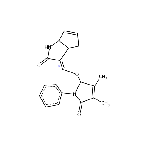 CC1=C(C)C(O/C=C2/C(=O)NC3C=CCC23)N(c2ccccc2)C1=O